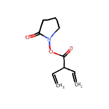 C=CC(C=C)C(=O)ON1CCCC1=O